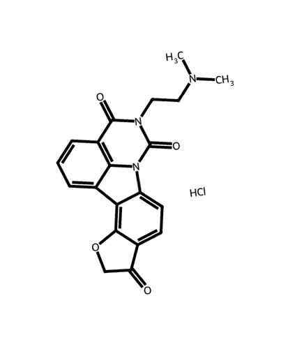 CN(C)CCn1c(=O)c2cccc3c4c5c(ccc4n(c1=O)c23)C(=O)CO5.Cl